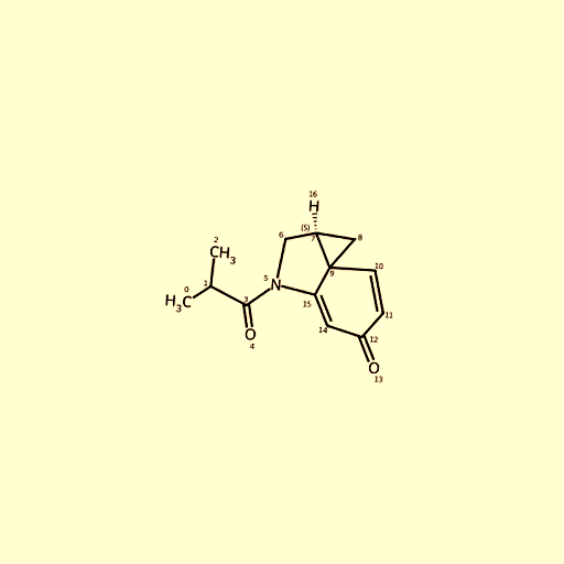 CC(C)C(=O)N1C[C@H]2CC23C=CC(=O)C=C13